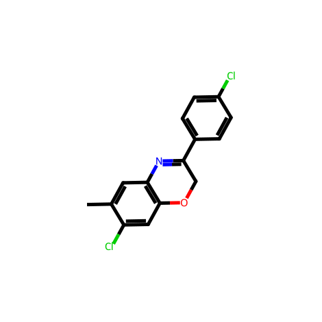 Cc1cc2c(cc1Cl)OCC(c1ccc(Cl)cc1)=N2